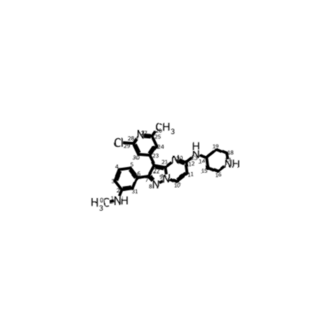 CNc1cccc(-c2nn3ccc(NC4CCNCC4)nc3c2-c2cc(C)nc(Cl)c2)c1